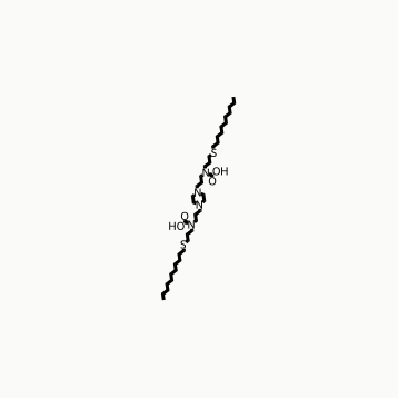 CCCCCCCCCCCSCCCN(CCCN1CCN(CCCN(CCCSCCCCCCCCCCC)C(=O)O)CC1)C(=O)O